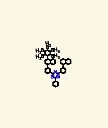 Bc1c(B)c(B)c(-c2ccc(-c3cccc(-c4nc(-c5ccccc5)nc(-c5cccc(-c6cccc7ccccc67)c5)n4)c3)c3ccccc23)c(B)c1B